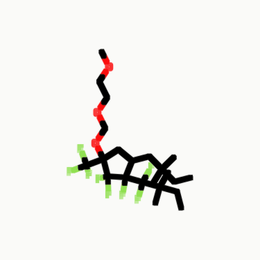 CCC(C)(C)CC1CC(OCOCCOC)(C(F)(F)F)C(F)(F)C1(F)C(F)(F)C(C)(C)CC